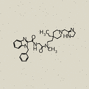 CCC1(CCN(C)C(=O)CNC(=O)c2nc3ccccc3n2Cc2ccccc2)CCN(CC2=NCCN2)CC1